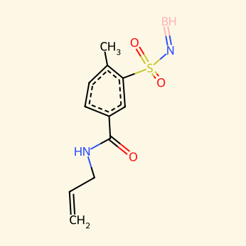 B=NS(=O)(=O)c1cc(C(=O)NCC=C)ccc1C